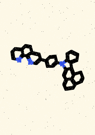 C1=Cc2cccc3cc4c(c(c23)C1)c1ccccc1n4-c1ccc(-c2cnc3c(ccc4cccnc43)c2)cc1